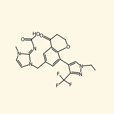 CCn1cc(-c2cc(Cn3ccn(C)c3=NC(=O)O)cc3c2OCCC3=O)c(C(F)(F)F)n1